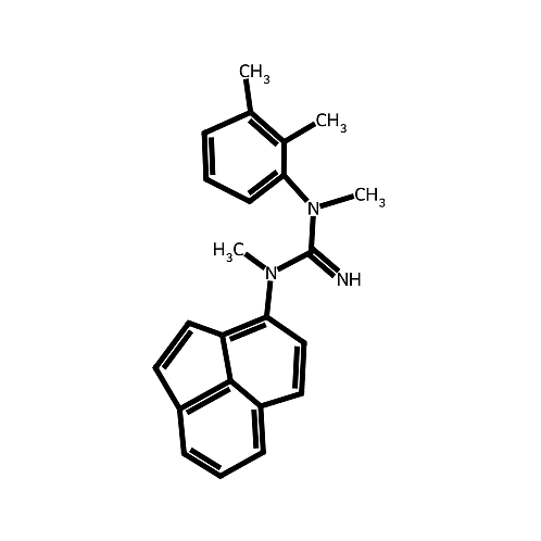 Cc1cccc(N(C)C(=N)N(C)c2ccc3cccc4c3c2C=C4)c1C